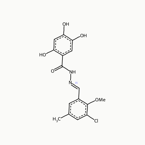 COc1c(Cl)cc(C)cc1/C=N/NC(=O)c1cc(O)c(O)cc1O